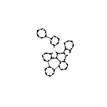 c1ccc(-c2cccc(-n3c4cccc5c4c4c6c(cccc6c6sc7ccccc7c6c43)-c3ccccc3-5)c2)cc1